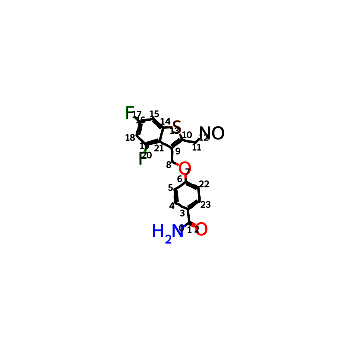 NC(=O)c1ccc(OCc2c(CN=O)sc3cc(F)cc(F)c23)cc1